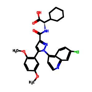 COc1ccc(OC)c(-c2cc(C(=O)N[C@H](C(=O)O)C3CCCCC3)nn2-c2ccnc3cc(Cl)ccc23)c1